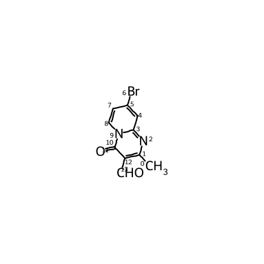 Cc1nc2cc(Br)ccn2c(=O)c1C=O